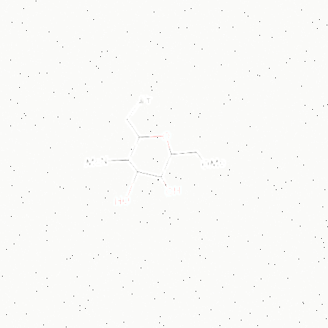 CNC1C(CC(C)C)OC(COC)C(O)C1O